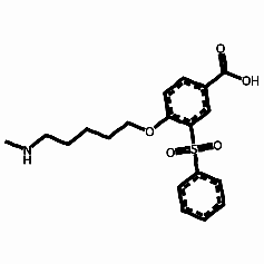 CNCCCCCOc1ccc(C(=O)O)cc1S(=O)(=O)c1ccccc1